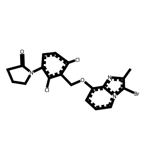 Cc1nc2c(OCc3c(Cl)ccc(N4CCCC4=O)c3Cl)cccn2c1Br